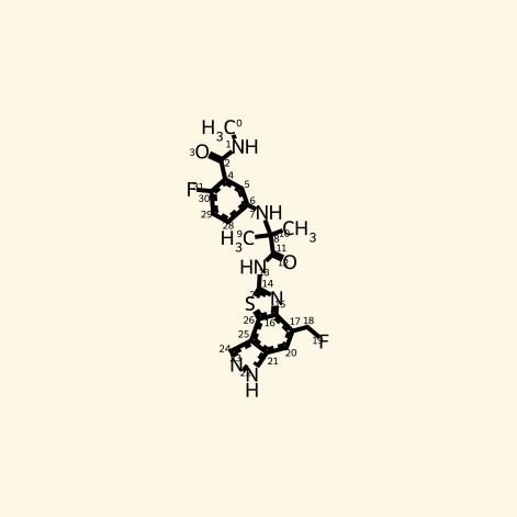 CNC(=O)c1cc(NC(C)(C)C(=O)Nc2nc3c(CF)cc4[nH]ncc4c3s2)ccc1F